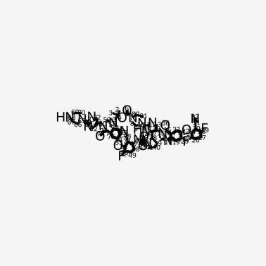 CC(C)(C)OC(=O)N1CCN(c2ncc(-n3cnc4ccc(Oc5c(F)ccc(F)c5C#N)cc4c3=O)c(C3CCCN3S(=O)(=O)Nc3ccc(F)c(Oc4ccc5ncn(-c6cnc(N7CCNCC7)nc6)c(=O)c5c4)c3C#N)n2)CC1